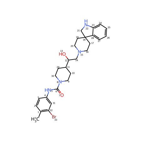 Cc1ccc(NC(=O)N2CCC(C(O)CN3CCC4(CC3)CNc3ccccc34)CC2)cc1Br